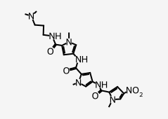 CN(C)CCCNC(=O)c1cc(NC(=O)c2cc(NC(=O)c3cc([N+](=O)[O-])cn3C)cn2C)cn1C